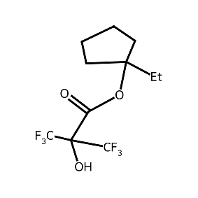 CCC1(OC(=O)C(O)(C(F)(F)F)C(F)(F)F)CCCC1